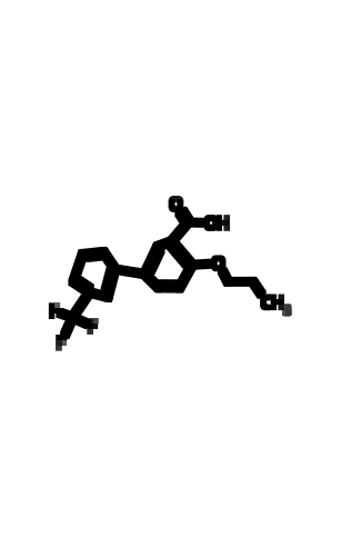 CCCOc1ccc(-c2cccc(C(F)(F)F)c2)cc1C(=O)O